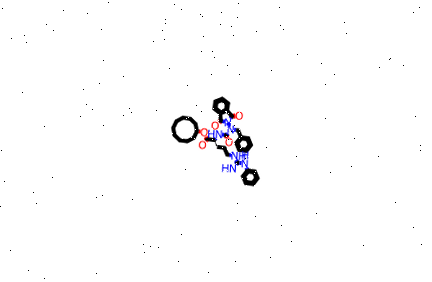 N=C(NCCC[C@@H](NC(=O)N(Cc1ccccc1)N1C(=O)c2ccccc2C1=O)C(=O)OC1CCCCCCCCC1)Nc1ccccc1